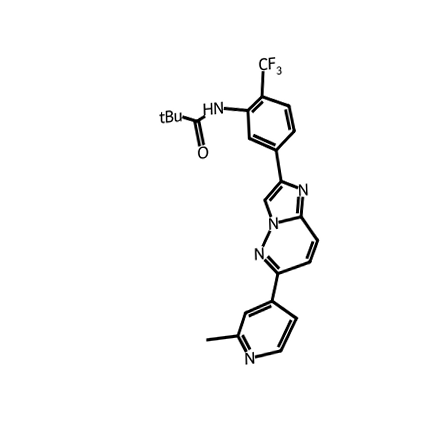 Cc1cc(-c2ccc3nc(-c4ccc(C(F)(F)F)c(NC(=O)C(C)(C)C)c4)cn3n2)ccn1